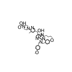 CCCCc1nc(N(Cc2ccc(OC)cc2)Cc2ccc(OC)cc2)c2ncc(C(O)c3cnc(N4CCN(C(=O)O)CC4)c(C)c3)n2n1